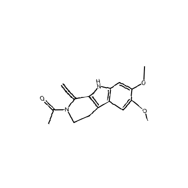 C=C1c2[nH]c3cc(OC)c(OC)cc3c2CCN1C(C)=O